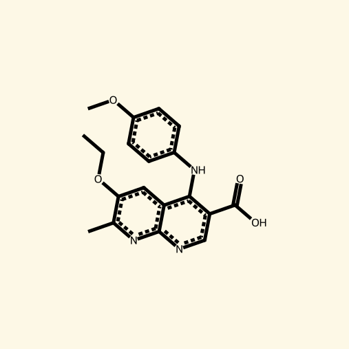 CCOc1cc2c(Nc3ccc(OC)cc3)c(C(=O)O)cnc2nc1C